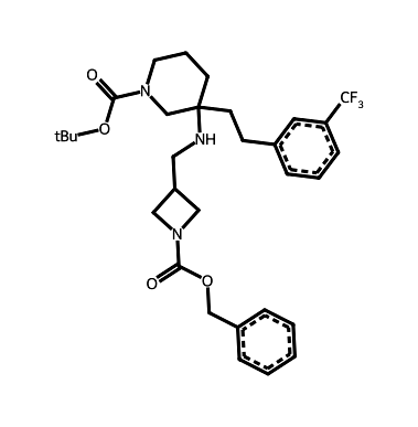 CC(C)(C)OC(=O)N1CCCC(CCc2cccc(C(F)(F)F)c2)(NCC2CN(C(=O)OCc3ccccc3)C2)C1